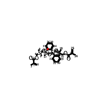 C=C(C)C(=O)OC[Si](C)(C)O[Si](C)(C)O[Si](O[Si](C)(C)COC(=O)C(=C)C)(c1ccccc1)c1ccccc1